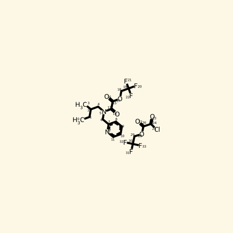 CCC(C)CN(Cc1ccccn1)C(=O)C(=O)OCC(F)(F)F.O=C(Cl)C(=O)OCC(F)(F)F